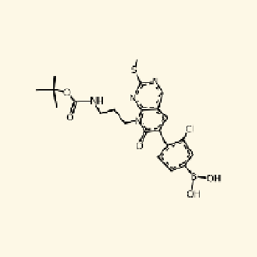 CSc1ncc2cc(-c3ccc(B(O)O)cc3Cl)c(=O)n(CCCNC(=O)OC(C)(C)C)c2n1